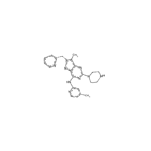 Cc1ccnc(Nc2nc(N3CCNCC3)nc3c(C)n(Cc4ccccn4)nc23)c1